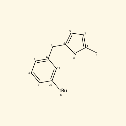 Cc1ccc(Cc2cccc(C(C)(C)C)c2)s1